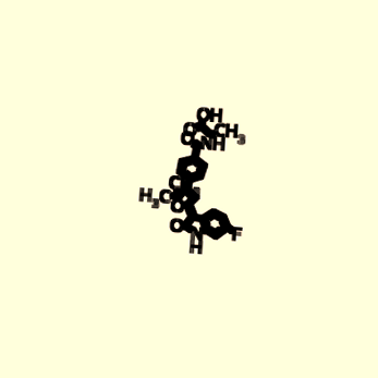 CC(NC(=O)c1ccc(C2=CC(=C3C(=O)Nc4cc(F)ccc43)OC2(C)C)cc1)C(=O)O